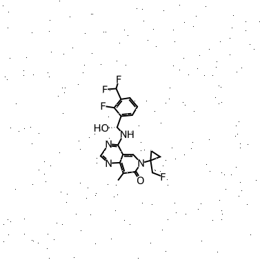 Cc1c(=O)n(C2(CF)CC2)cc2c(N[C@H](O)c3cccc(C(F)F)c3F)ncnc12